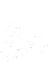 COc1cc(CN(Cc2ccc3c(c2)OCO3)C(=S)NCCCCC(CO)N(CCC(C)C)S(=O)(=O)c2ccc(N)cc2)cc(OC)c1OC